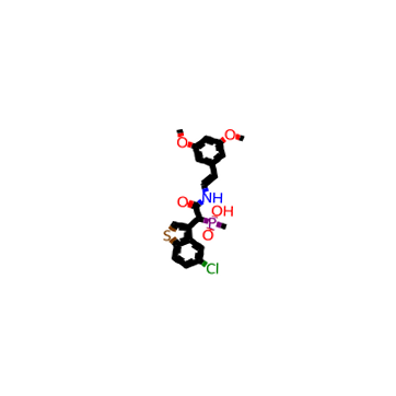 COc1cc(C=CNC(=O)C(c2csc3ccc(Cl)cc23)P(C)(=O)O)cc(OC)c1